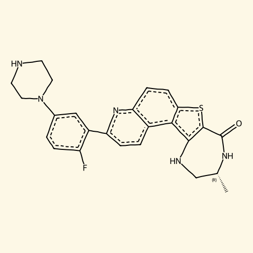 C[C@@H]1CNc2c(sc3ccc4nc(-c5cc(N6CCNCC6)ccc5F)ccc4c23)C(=O)N1